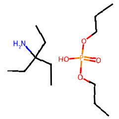 CCC(N)(CC)CC.CCCOP(=O)(O)OCCC